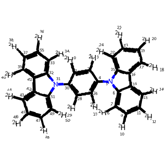 [2H]c1c([2H])c(-n2c3c([2H])c([2H])c([2H])c([2H])c3c3c([2H])c([2H])c([2H])c([2H])c32)c([2H])c([2H])c1-n1c2c([2H])c([2H])c([2H])c([2H])c2c2c([2H])c([2H])c([2H])c([2H])c21